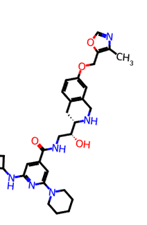 Cc1ncoc1COc1ccc2c(c1)CN[C@H]([C@H](O)CNC(=O)c1cc(NC3CCC3)nc(N3CCCCC3)c1)C2